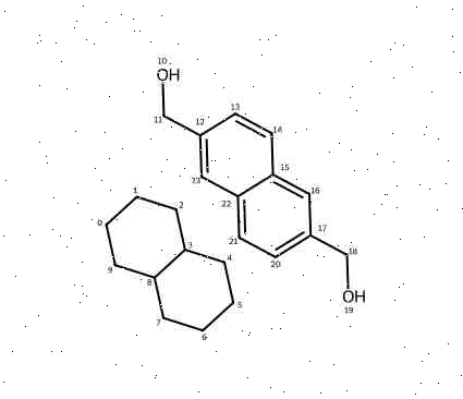 C1CCC2CCCCC2C1.OCc1ccc2cc(CO)ccc2c1